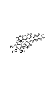 Oc1c(O)c(O)c(-c2c3ccccc3c(-c3cccc4c3ccc3cc5ccccc5cc34)c3ccccc23)c(O)c1O